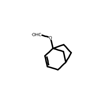 O=[C]OC12C=CCC(CC1)C2